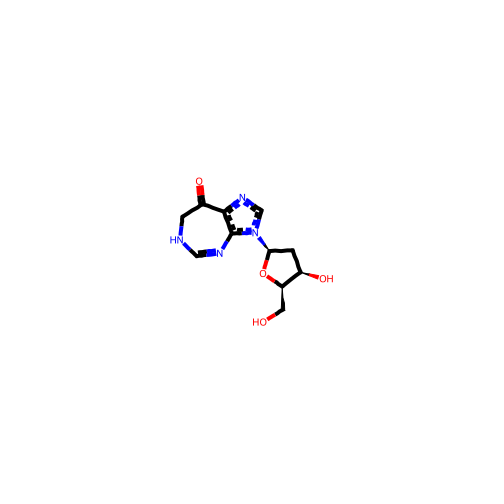 O=C1CNC=Nc2c1ncn2[C@H]1C[C@@H](O)[C@@H](CO)O1